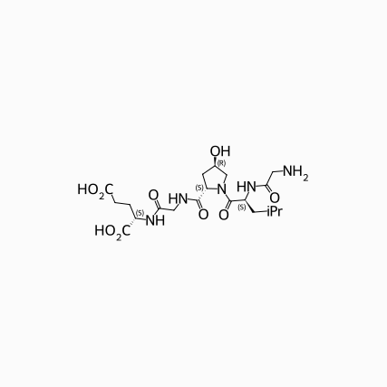 CC(C)C[C@H](NC(=O)CN)C(=O)N1C[C@H](O)C[C@H]1C(=O)NCC(=O)N[C@@H](CCC(=O)O)C(=O)O